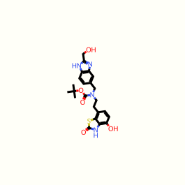 CC(C)(C)OC(=O)N(CCc1ccc(O)c2[nH]c(=O)sc12)Cc1ccc2[nH]c(CO)nc2c1